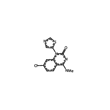 CNc1nc(=O)n(-c2cncs2)c2cc(Cl)ccc12